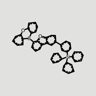 c1ccc([Si](c2ccccc2)(c2ccccc2)c2cccc(-c3ccc4oc5c(B6c7ccccc7Oc7ccccc76)cccc5c4c3)c2)cc1